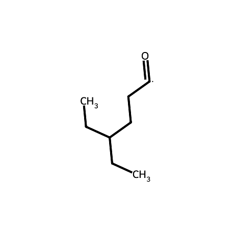 CCC(CC)CC[C]=O